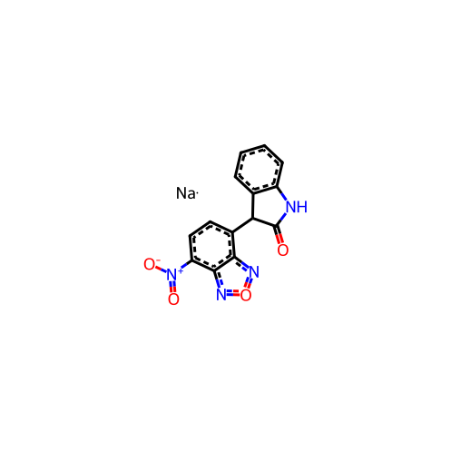 O=C1Nc2ccccc2C1c1ccc([N+](=O)[O-])c2nonc12.[Na]